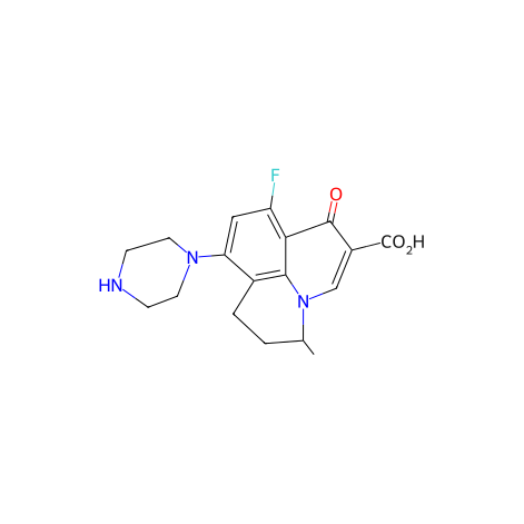 CC1CCc2c(N3CCNCC3)cc(F)c3c(=O)c(C(=O)O)cn1c23